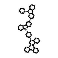 c1ccc(C2c3ccccc3-c3ccc(-c4ccc5c(c4)c4ccccc4n5-c4ccc(-c5cc6c7ccccc7c7ccccc7c6c6ccccc56)cc4)cc32)cc1